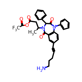 CC(CC(=O)OC(=O)C(F)(F)F)N1C(=O)c2cc(C#CCCCN)ccc2N(c2ccccc2)C(=O)C1c1ccccc1